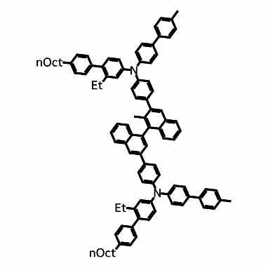 CCCCCCCCc1ccc(-c2ccc(N(c3ccc(-c4ccc(C)cc4)cc3)c3ccc(-c4cc(-c5c(C)c(-c6ccc(N(c7ccc(-c8ccc(C)cc8)cc7)c7ccc(-c8ccc(CCCCCCCC)cc8)c(CC)c7)cc6)cc6ccccc56)c5ccccc5c4)cc3)cc2CC)cc1